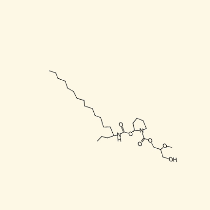 CCCCCCCCCCCCCCC(CCC)NC(=O)O[C@H]1CCCCN1C(=O)OCC(CO)OC